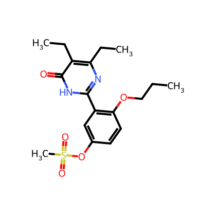 CCCOc1ccc(OS(C)(=O)=O)cc1-c1nc(CC)c(CC)c(=O)[nH]1